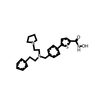 O=C(NO)c1ccc(-c2ccc(CN(CCc3ccccc3)CCN3CCCC3)cc2)s1